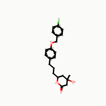 CC1(O)CC(=O)OC(CCCc2ccc(OCc3ccc(Cl)cc3)cc2)C1